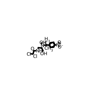 CC(C)(c1ccc([N+](=O)[O-])cc1)N(O)C(CO)CNC(=O)C(Cl)Cl